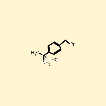 CC(C)Cc1ccc([C@H](C)N)cc1.Cl